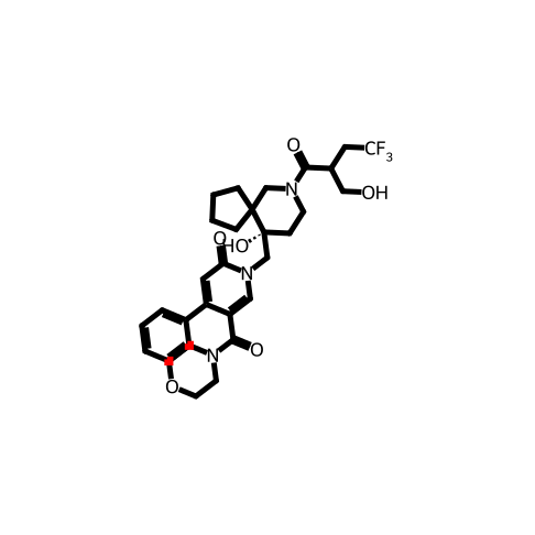 O=C(c1cn(C[C@]2(O)CCN(C(=O)C(CO)CC(F)(F)F)CC23CCCC3)c(=O)cc1-c1ccccc1)N1CCOCC1